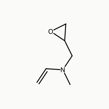 C=CN(C)CC1CO1